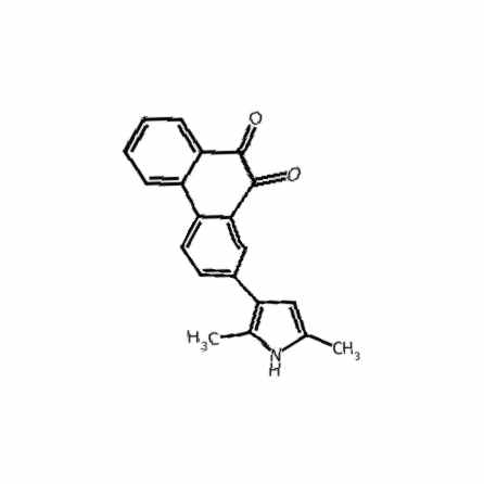 Cc1cc(-c2ccc3c(c2)C(=O)C(=O)c2ccccc2-3)c(C)[nH]1